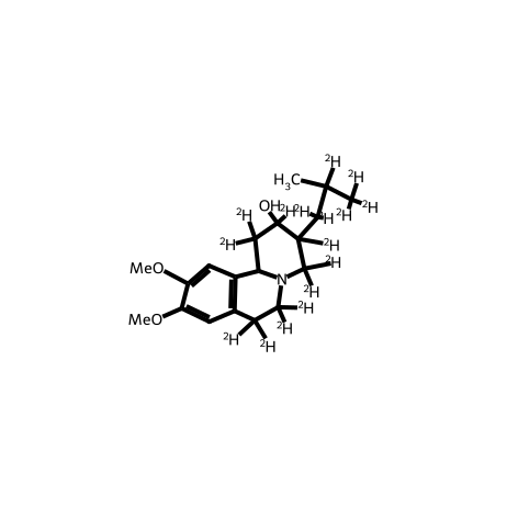 [2H]C([2H])([2H])C([2H])(C)C([2H])([2H])C1([2H])C([2H])([2H])N2C(c3cc(OC)c(OC)cc3C([2H])([2H])C2([2H])[2H])C([2H])([2H])C1([2H])O